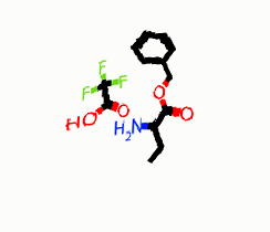 CCC(N)C(=O)OCc1ccccc1.O=C(O)C(F)(F)F